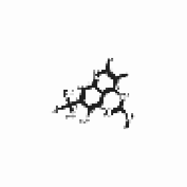 COC(=O)Oc1c(C)c(C)nc2cc(C(F)(F)F)c(F)cc12